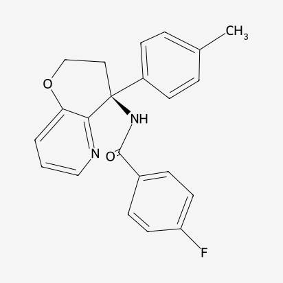 Cc1ccc([C@@]2(NC(=O)c3ccc(F)cc3)CCOc3cccnc32)cc1